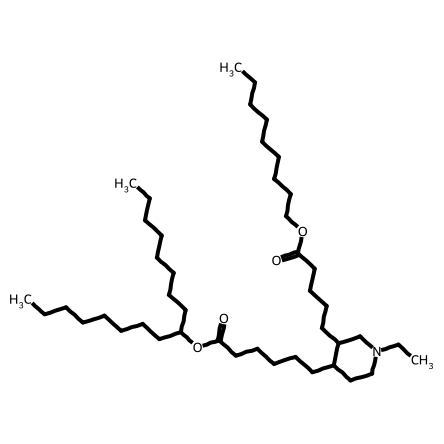 CCCCCCCCCOC(=O)CCCCC1CN(CC)CCC1CCCCCC(=O)OC(CCCCCCCC)CCCCCCCC